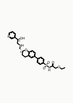 CCOCC(=O)NS(=O)(=O)c1ccc(-c2ccc3c(c2)CC[C@H](CNC[C@H](O)c2cccnc2)O3)cc1